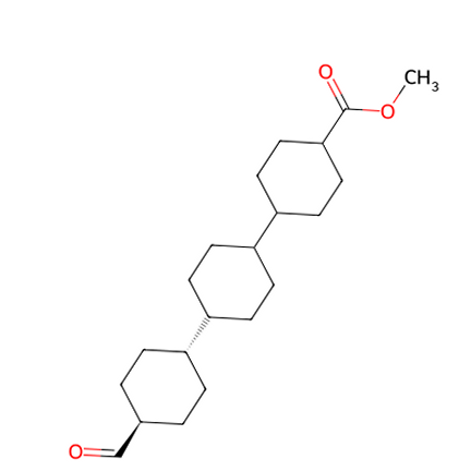 COC(=O)C1CCC(C2CCC([C@H]3CC[C@H](C=O)CC3)CC2)CC1